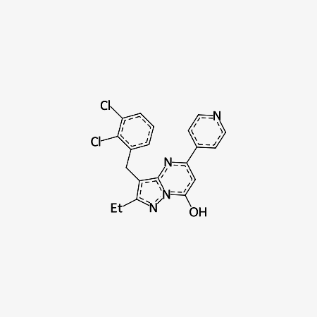 CCc1nn2c(O)cc(-c3ccncc3)nc2c1Cc1cccc(Cl)c1Cl